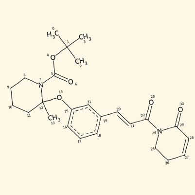 CC(C)(C)OC(=O)N1CCCCC1(C)Oc1cccc(C=CC(=O)N2CCC=CC2=O)c1